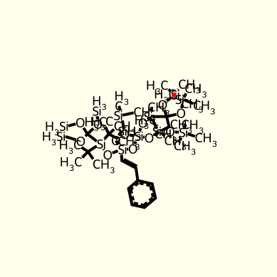 CC(C)(C)[Si](O[Si](C=Cc1ccccc1)(O[SiH3])O[Si](O[Si](C)(C)C)(O[Si](C)(C)C)O[Si](C)(C)C(O[Si](C)(C)C)(O[Si](C)(C)C)O[Si](C)(C)C)(C(C)(C)C)C(O[SiH3])(O[SiH3])O[SiH3]